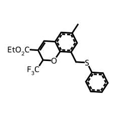 CCOC(=O)C1=Cc2cc(C)cc(CSc3ccccc3)c2OC1C(F)(F)F